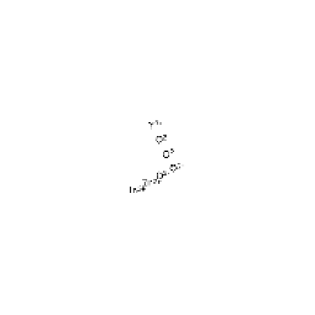 [In+3].[O-2].[O-2].[O-2].[O-2].[Y+3].[Zn+2]